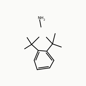 CC(C)(C)c1ccccc1C(C)(C)C.CN